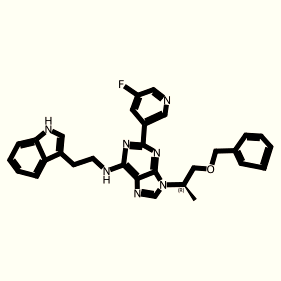 C[C@H](COCc1ccccc1)n1cnc2c(NCCc3c[nH]c4ccccc34)nc(-c3cncc(F)c3)nc21